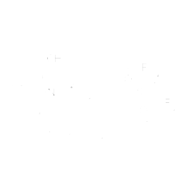 CC(=O)N1CCCc2ccc(S(=O)(=O)C(F)(F)F)cc2C1